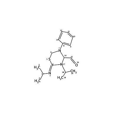 CC(C)N=C1SCN(c2ccccc2)C(C=O)N1C(C)C